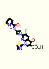 O=C(NC1CN(c2nc3c(cc2F)c(=O)c(C(=O)O)cn3-c2nccs2)C1)c1ccccn1